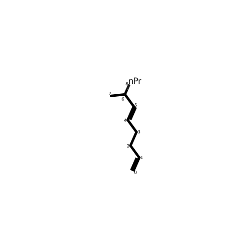 C=CCCC=CC(C)CCC